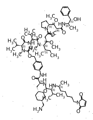 CC[C@H](C)[C@@H]([C@@H](CC(=O)N1CCC[C@H]1[C@H](OC)[C@@H](C)C(=O)N[C@H](C)[C@@H](O)c1ccccc1)OC)N(C)C(=O)[C@@H](NC(=O)[C@H](C(C)C)N(C)C(=O)OCc1ccc(NC(=O)[C@H](C[C@H]2CC[C@H](CN)CC2)NC(=O)[C@@H](N[C@@H](C)CCCCCN2C(=O)C=CC2=O)C(C)C)cc1)C(C)C